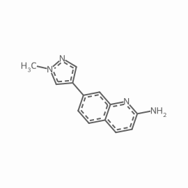 Cn1cc(-c2ccc3ccc(N)nc3c2)cn1